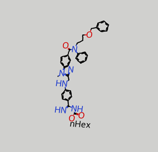 CCCCCCOC(=O)NC(=N)c1ccc(NCc2nc3cc(C(=O)N(CCCOCc4ccccc4)c4ccccc4)ccc3n2C)cc1